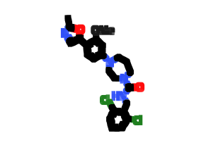 COc1cc(N2CCCN(C(=O)NCc3c(Cl)cccc3Cl)CC2)ccc1-c1cnc(C)o1